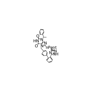 CCCCCc1nc2c(c(=O)[nH]c(=O)n2C(C)c2ccccc2)n1Cc1ccc(-c2ccccc2-c2nnn[nH]2)cc1